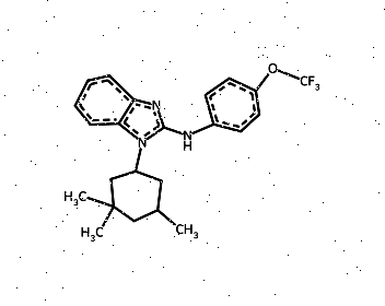 CC1CC(n2c(Nc3ccc(OC(F)(F)F)cc3)nc3ccccc32)CC(C)(C)C1